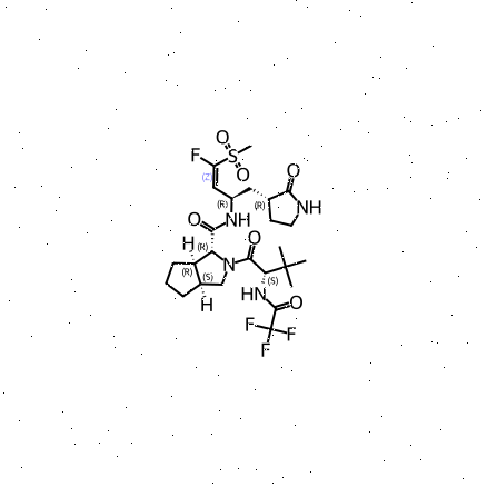 CC(C)(C)[C@H](NC(=O)C(F)(F)F)C(=O)N1C[C@H]2CCC[C@H]2[C@@H]1C(=O)N[C@@H](/C=C(/F)S(C)(=O)=O)C[C@H]1CCNC1=O